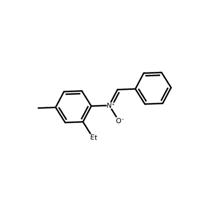 CCc1cc(C)ccc1[N+]([O-])=Cc1ccccc1